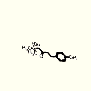 CC(C)(C)[Si](C)(C)CC(=O)CCc1ccc(O)cc1